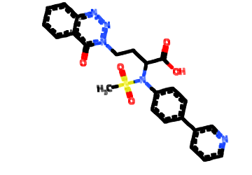 CS(=O)(=O)N(c1ccc(-c2cccnc2)cc1)C(CCn1nnc2ccccc2c1=O)C(=O)O